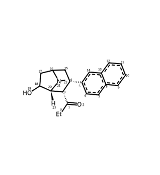 CCC(=O)[C@H]1[C@@H](c2ccc3ccccc3c2)CC2CC(O)[C@@H]1N2C